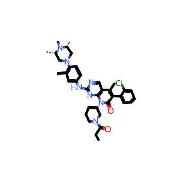 CCC(=O)N1CCC[C@H](n2c(=O)c(-c3ccccc3Cl)c(C)c3cnc(Nc4ccc(N5C[C@@H](C)N(C)[C@@H](C)C5)c(C)c4)nc32)C1